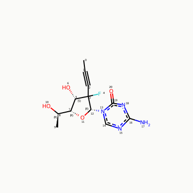 CC#CC1(F)[C@@H](O)[C@@H]([C@@H](C)O)O[C@H]1n1cnc(N)nc1=O